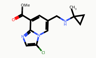 COC(=O)c1cc(CNC2(C)CC2)cn2c(Cl)cnc12